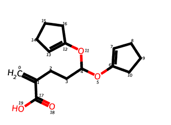 C=C(CCC(OC1=CCCC1)OC1=CCCC1)C(=O)O